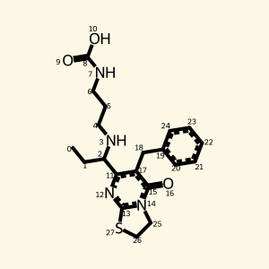 CCC(NCCCNC(=O)O)c1nc2n(c(=O)c1Cc1ccccc1)CCS2